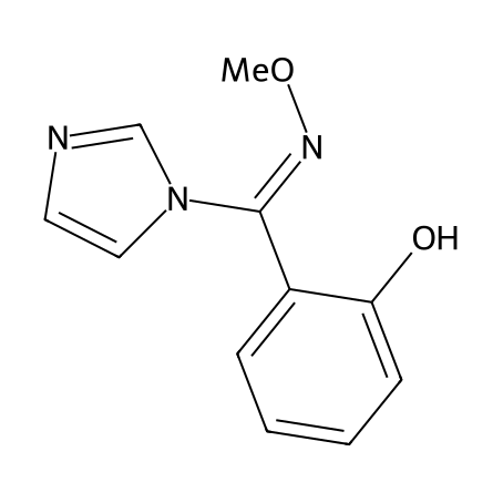 CON=C(c1ccccc1O)n1ccnc1